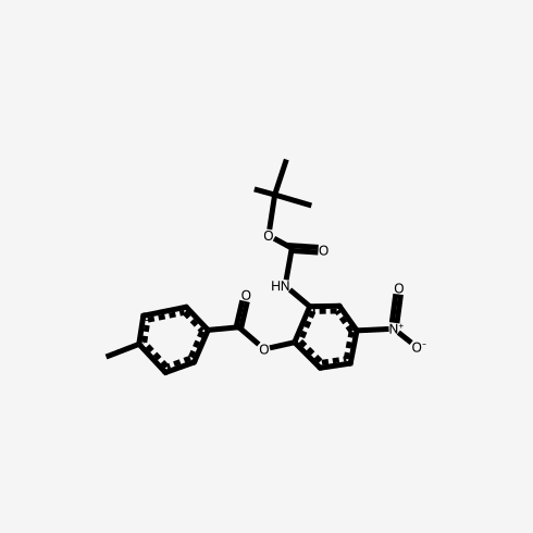 Cc1ccc(C(=O)Oc2ccc([N+](=O)[O-])cc2NC(=O)OC(C)(C)C)cc1